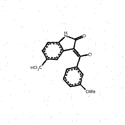 COc1cccc(/C(Cl)=C2/C(=O)Nc3ccc(C(=O)O)cc32)c1